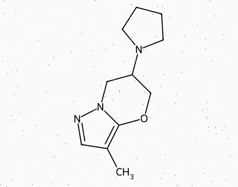 Cc1cnn2c1OCC(N1CCCC1)C2